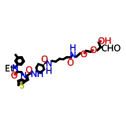 CCN(C(=O)Cn1c(C(=O)N[C@H]2CC[C@H](C(=O)NCCCCCC(=O)NCCOCCOCC(C=O)CO)CC2)cc2sccc21)c1cccc(C)c1